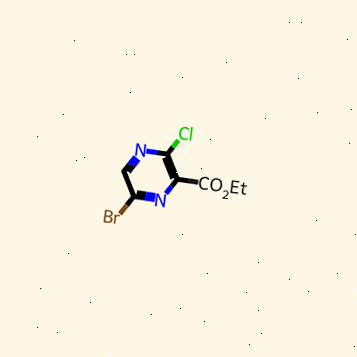 CCOC(=O)c1nc(Br)cnc1Cl